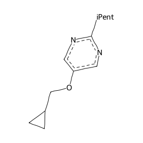 CCCC(C)c1ncc(OCC2CC2)cn1